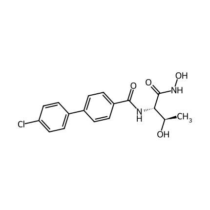 C[C@@H](O)[C@H](NC(=O)c1ccc(-c2ccc(Cl)cc2)cc1)C(=O)NO